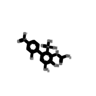 CC(=O)Nc1c(O)c(C)cc(-c2ccc([N+](=O)[O-])cc2Cl)c1[As](=O)(O)O